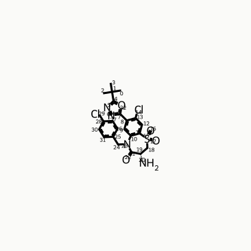 CC(C)(C)c1nnc(-c2cc3c(cc2Cl)S(=O)(=O)C[C@H](N)C(=O)N3Cc2ccc(Cl)cc2)o1